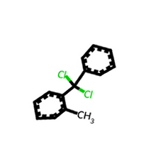 Cc1ccccc1C(Cl)(Cl)c1ccccc1